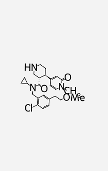 COCCc1ccc(Cl)c(CN(C(=O)[C@@H]2CNCC[C@H]2c2ccn(C)c(=O)c2)C2CC2)c1